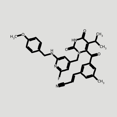 COc1ccc(CNc2cc(Cn3c(C(=O)c4cc(C)cc(/C=C/C#N)c4)c(C(C)C)c(=O)[nH]c3=O)cc(F)n2)cc1